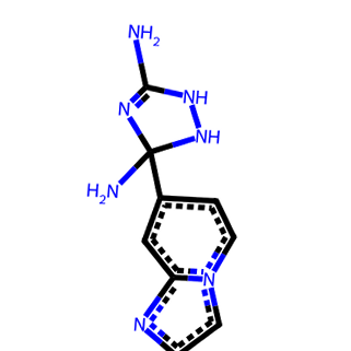 NC1=NC(N)(c2ccn3ccnc3c2)NN1